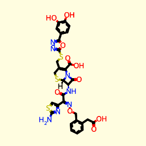 Nc1nc(C(=NOCc2ccccc2CC(=O)O)C(=O)N[C@@H]2C(=O)N3C(C(=O)O)=C(CSc4nnc(-c5ccc(O)c(O)c5)o4)CS[C@@H]23)cs1